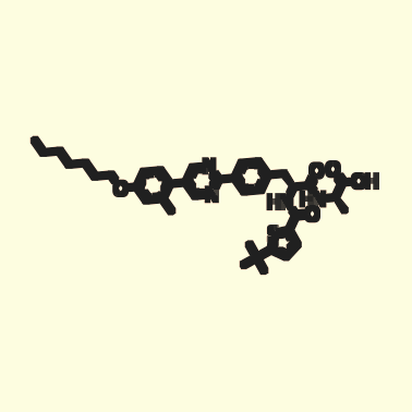 CCCCCCCOc1ccc(-c2cnc(-c3ccc(C[C@H](NC(=O)c4ccc(C(C)(C)C)s4)C(=O)N[C@H](C)C(=O)O)cc3)nc2)c(C)c1